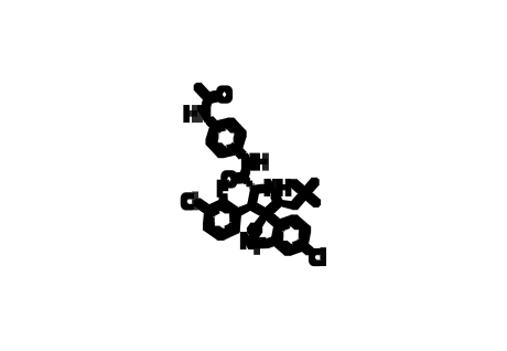 CC(=O)Nc1ccc(NC(=O)[C@@H]2N[C@@H](CC(C)(C)C)[C@](C#N)(c3ccc(Cl)cc3F)[C@H]2c2cccc(Cl)c2F)cc1